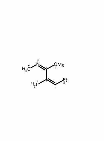 CC/C=C(C)\C(=N/C)OC